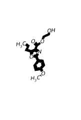 CCCc1oc(-c2ccc(OC)cc2)nc1C(=O)OCCO